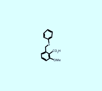 COc1cccc(CSc2ccccc2)c1C(=O)O